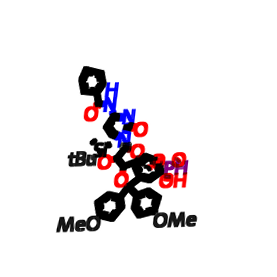 COc1ccc(C(OC2C(O[Si](C)(C)C(C)(C)C)[C@H](n3ccc(NC(=O)c4ccccc4)nc3=O)O[C@@H]2CO[PH](=O)O)(c2ccccc2)c2ccc(OC)cc2)cc1